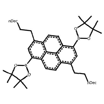 CCCCCCCCCCCCc1cc(B2OC(C)(C)C(C)(C)O2)c2ccc3c(CCCCCCCCCCCC)cc(B4OC(C)(C)C(C)(C)O4)c4ccc1c2c34